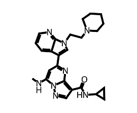 CNc1cc(-c2cn(CCN3CCCCC3)c3ncccc23)nc2c(C(=O)NC3CC3)cnn12